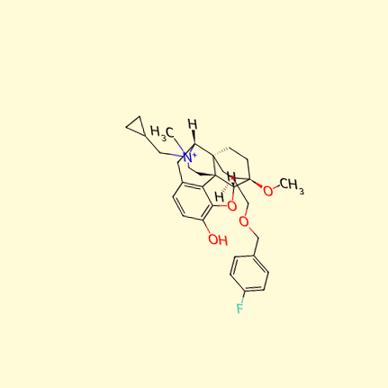 CO[C@]12CC[C@@]3(C[C@@H]1COCc1ccc(F)cc1)[C@H]1Cc4ccc(O)c5c4[C@@]3(CC[N+]1(C)CC1CC1)[C@H]2O5